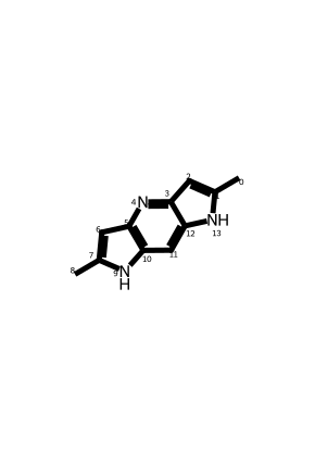 Cc1cc2nc3cc(C)[nH]c3cc2[nH]1